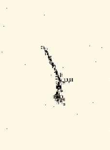 CCOCCOCCOCCOCCOCCOCCNC(=O)CCC(NC(=O)c1ccc(NCc2cnc3nc(N)[nH]c(=O)c3n2)cc1)C(=O)O